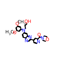 COc1cc(OC)cc(N(CCCO)c2ccc3ncc(-c4ccnc(C(=O)N5CCOCC5)c4)nc3c2)c1